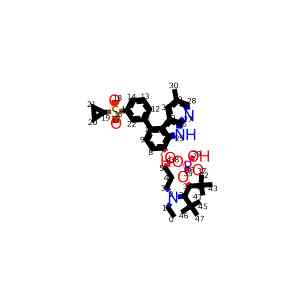 CCN(CCCOc1ccc(-c2cccc(S(=O)(=O)C3CC3)c2)c2c1[nH]c1ncc(C)cc12)C(C(OP(=O)(O)O)C(C)(C)C)C(C)(C)C